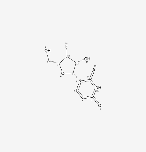 O=c1ccn([C@@H]2O[C@H](CO)C(F)[C@@H]2O)c(=S)[nH]1